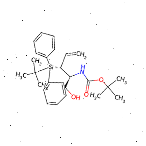 C=C[C@H]([C@H](CO)NC(=O)OC(C)(C)C)[Si](c1ccccc1)(c1ccccc1)C(C)(C)C